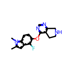 Cc1cc2c(F)c(Oc3ncnc4c3CCNC4)ccc2n1C